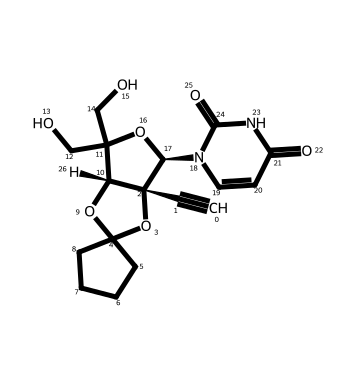 C#C[C@@]12OC3(CCCC3)O[C@@H]1C(CO)(CO)O[C@H]2n1ccc(=O)[nH]c1=O